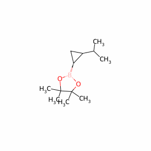 CC(C)C1C[C@@H]1B1OC(C)(C)C(C)(C)O1